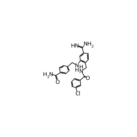 N=C(N)c1ccc(CNC(=O)c2cccc(Cl)c2)c(NCc2ccc(C(N)=O)cc2)c1